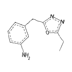 CCc1nnc(Cc2cccc(N)c2)o1